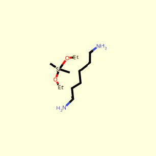 CCO[Si](C)(C)OCC.NCCCCCCN